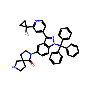 O=C1N(c2ccc3c(c2)c(-c2ccnc(C4(C(F)(F)F)CC4)c2)nn3C(c2ccccc2)(c2ccccc2)c2ccccc2)CCC12CCNC2